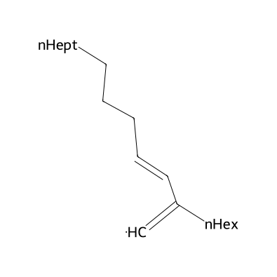 [CH]=C(C=CCCCCCCCCCC)CCCCCC